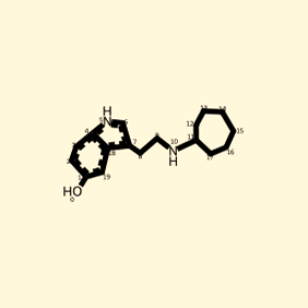 Oc1ccc2[nH]cc(CCNC3CCCCCC3)c2c1